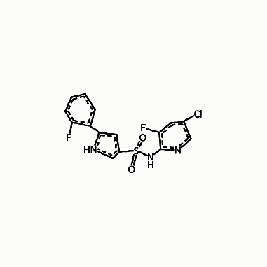 O=S(=O)(Nc1ncc(Cl)cc1F)c1c[nH]c(-c2ccccc2F)c1